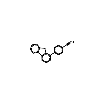 C#Cc1ccc(-c2cccc3c2[C]c2ccccc2-3)cc1